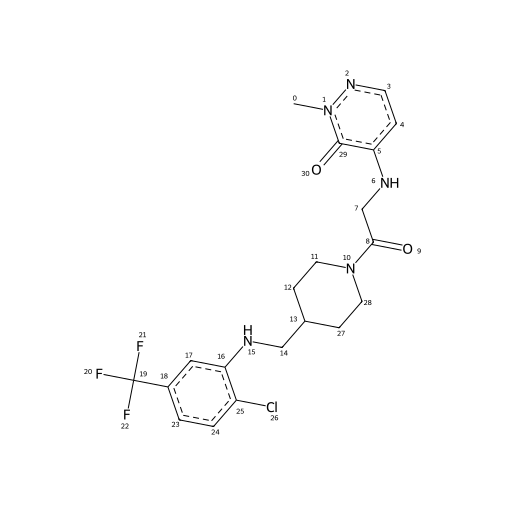 Cn1nccc(NCC(=O)N2CCC(CNc3cc(C(F)(F)F)ccc3Cl)CC2)c1=O